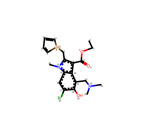 CCOC(=O)c1c(C[SH]2C=CC=C2)n(C)c2cc(Br)c(O)c(CN(C)C)c12